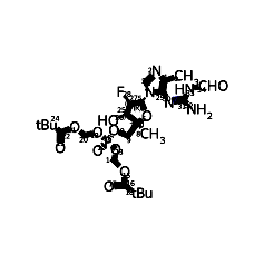 Cc1ncn([C@@H]2O[C@](C)(COP(=O)(OCOC(=O)C(C)(C)C)OCOC(=O)C(C)(C)C)[C@@H](O)[C@H]2F)c1/N=C(/N)NC=O